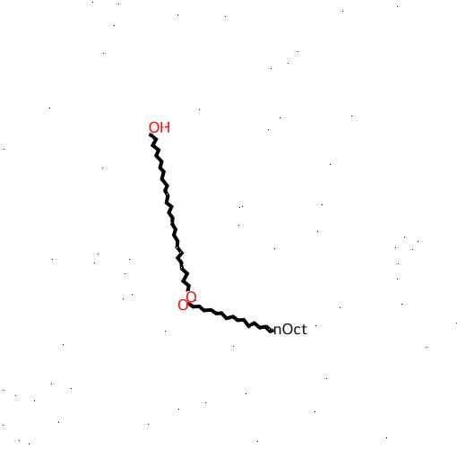 CCCCCCCCC=CCCCCCCCCCCCCCC(=O)OCCCCCCCCCCCCCCCCCCCCCCCCCCCCCO